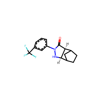 O=C1[C@H]2C3CCC(C3)[C@H]2NN1c1cccc(C(F)(F)F)c1